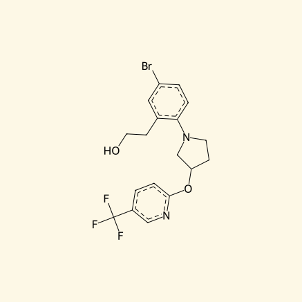 OCCc1cc(Br)ccc1N1CCC(Oc2ccc(C(F)(F)F)cn2)C1